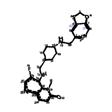 C=C(/C=C1/SCO/C1=C/N)CN[C@H]1CC[C@H](CNc2c(F)cnc3ccc(=O)n(C)c23)CC1